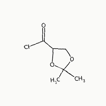 CC1(C)OCC(C(=O)Cl)O1